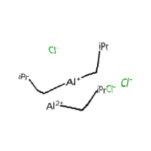 CC(C)[CH2][Al+2].CC(C)[CH2][Al+][CH2]C(C)C.[Cl-].[Cl-].[Cl-]